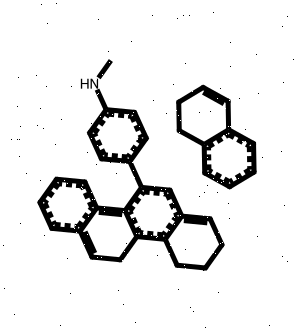 C1=Cc2ccccc2CC1.CNc1ccc(-c2cc3c(c4c2=c2ccccc2=CC4)CCCC=3)cc1